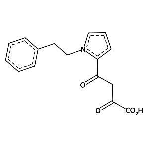 O=C(O)C(=O)CC(=O)c1cccn1CCc1ccccc1